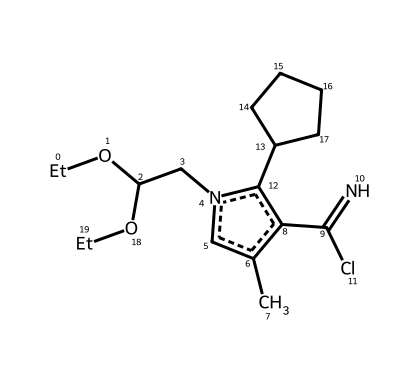 CCOC(Cn1cc(C)c(C(=N)Cl)c1C1CCCC1)OCC